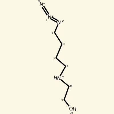 [N-]=[N+]=NCCCCNCCO